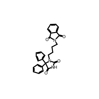 O=C1c2ccccc2C(=O)N1CCCCN1C(=O)NC(=O)C1(c1ccccc1)c1ccccc1